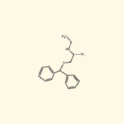 CCNC(C)COC(c1ccccc1)c1ccccc1